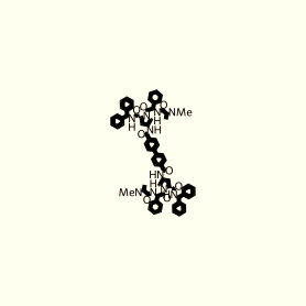 CN[C@@H](C)C(=O)N[C@H](C(=O)N1C[C@@H](NC(=O)c2ccc(-c3ccc(C(=O)N[C@H]4C[C@@H](C(=O)NC(c5ccccc5)c5ccccc5)N(C(=O)[C@@H](NC(=O)[C@H](C)NC)C5CCCCC5)C4)cc3)cc2)C[C@H]1C(=O)NC(c1ccccc1)c1ccccc1)C1CCCCC1